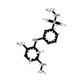 CNc1ncc(C)c(Nc2cccc(S(=O)(=O)NC)c2)n1